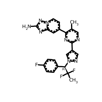 Cc1cnc(-c2cnn([C@H](c3ccc(F)cc3)C(C)(F)F)c2)nc1-c1ccn2nc(N)nc2c1